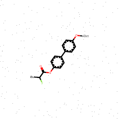 CCCCCCCCOc1ccc(-c2ccc(OC(=O)C(F)C(C)CC)cc2)cc1